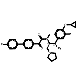 CN(C(=O)C(=O)c1ccc(-c2ccc(F)cc2)cc1)[C@H](CN1CCCC1)[C@H](O)c1ccc(OC2CC2)c(F)c1